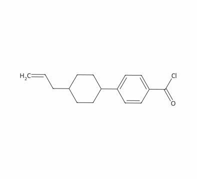 C=CCC1CCC(c2ccc(C(=O)Cl)cc2)CC1